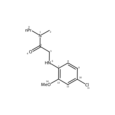 CCCN(C)C(=O)CNc1ccc(Cl)cc1OC